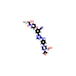 CC(O)C(=O)N1CC[C@H](Oc2ccc(-c3ncnc(Nc4ccc(N5CCN(C6COC6)[C@@H](CO)C5)cc4)n3)cc2C#N)[C@H](F)C1